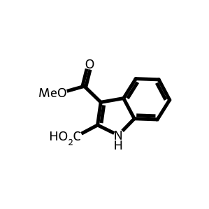 COC(=O)c1c(C(=O)O)[nH]c2ccccc12